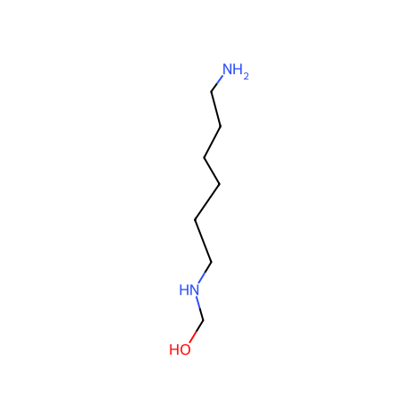 NCCCCCCNCO